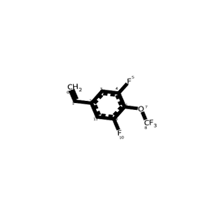 C=Cc1cc(F)c(OC(F)(F)F)c(F)c1